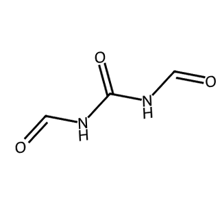 O=CNC(=O)NC=O